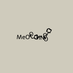 COC(=O)Cc1ccc(CNC(=O)OCc2ccccc2)cc1